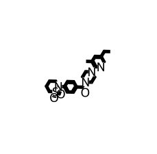 CCc1cnc(N2CCN(C(=O)c3ccc(N4CCCCS4(=O)=O)cc3)CC2)c(C)c1